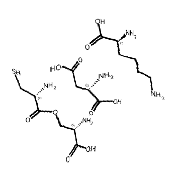 NCCCC[C@H](N)C(=O)O.N[C@@H](CC(=O)O)C(=O)O.N[C@@H](COC(=O)[C@@H](N)CS)C(=O)O